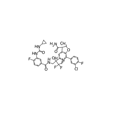 C[C@]1(C(N)=O)COc2c1cc(C(O)(CNC(=O)c1ccc(F)c(NC(=O)NC3CC3)c1)C(F)(F)F)nc2-c1ccc(F)c(Cl)c1